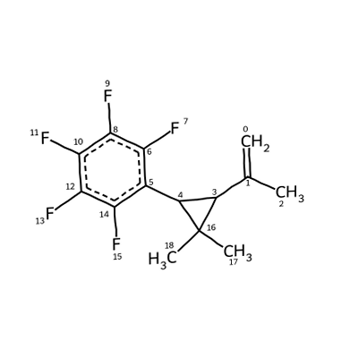 C=C(C)C1C(c2c(F)c(F)c(F)c(F)c2F)C1(C)C